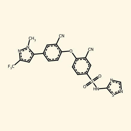 Cn1nc(C(F)(F)F)cc1-c1ccc(Oc2ccc(S(=O)(=O)Nc3ncns3)cc2C#N)c(C#N)c1